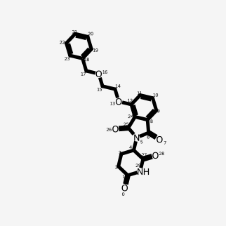 O=C1CCC(N2C(=O)c3cccc(OCCOCc4ccccc4)c3C2=O)C(=O)N1